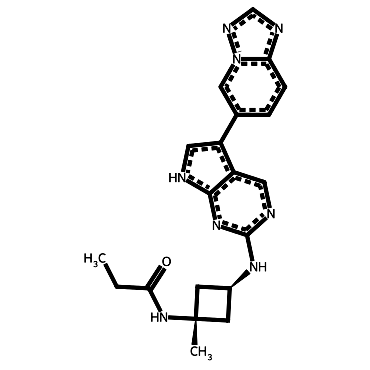 CCC(=O)N[C@]1(C)C[C@@H](Nc2ncc3c(-c4ccc5ncnn5c4)c[nH]c3n2)C1